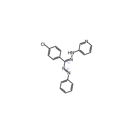 Clc1ccc(C(/N=N/c2ccccc2)=N\Nc2cccnc2)cc1